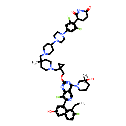 CCc1c(F)ccc2cc(O)cc(-c3ncc4c(N5CCC[C@@](C)(O)C5)nc(OCC5(CN6CCC(C)(CN7CCC(N8CCN(c9cc(F)c(C%10CCC(=O)NC%10=O)c(F)c9)CC8)CC7)CC6)CC5)nc4c3F)c12